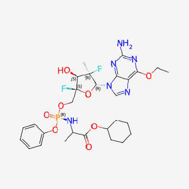 CCOc1nc(N)nc2c1ncn2[C@@H]1O[C@](F)(CO[P@](=O)(NC(C)C(=O)OC2CCCCC2)Oc2ccccc2)[C@@H](O)[C@@]1(C)F